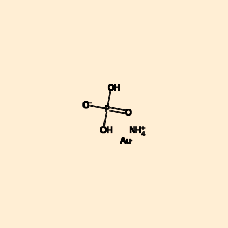 O=P([O-])(O)O.[Au].[NH4+]